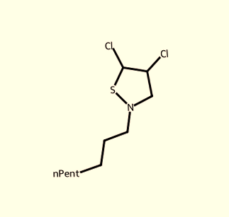 CCCCCCCCN1CC(Cl)C(Cl)S1